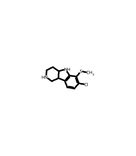 CSc1c(Cl)ccc2c1NC1CCNCC21